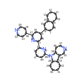 c1cc(-c2cc(-c3ccc4ccccc4c3)cc(-c3ccncc3)n2)nc(-n2c3ccccc3c3cnccc32)c1